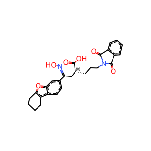 O=C(O)[C@H](CCCN1C(=O)c2ccccc2C1=O)CC(=NO)c1ccc2c3c(oc2c1)CCCC3